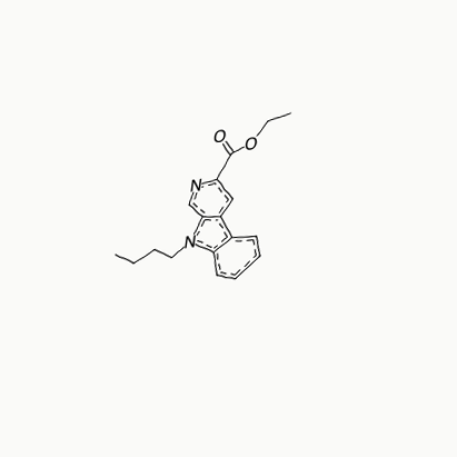 CCCCn1c2ccccc2c2cc(C(=O)OCC)ncc21